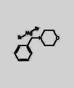 [Br][Mg][Br].[c]1cccc(CN2CCOCC2)c1